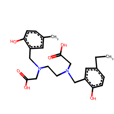 CCc1ccc(O)c(CN(CCN(CC(=O)O)Cc2cc(C)ccc2O)CC(=O)O)c1